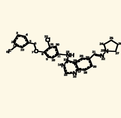 Fc1cccc(COc2ccc(Nc3ncnc4ccc(/C=N/N5CCCC5)cc34)cc2Cl)c1